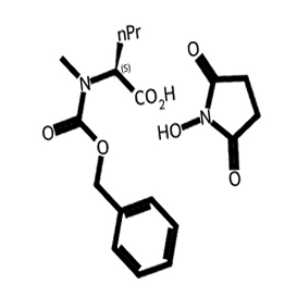 CCC[C@@H](C(=O)O)N(C)C(=O)OCc1ccccc1.O=C1CCC(=O)N1O